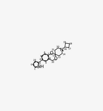 c1c[nH]c(-c2ccc3c(c2)COC2(CCN(C4CCC4)CC2)O3)c1